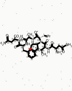 CC(C)C[C@@H](C(=O)N[C@@H](C)C(=O)N[C@@H](Cc1ccccc1)C(=O)N[C@@H](CC(N)=O)C(=O)O)N(C(=O)[C@@H](NC(=O)[C@@H](N)CC(N)=O)[C@@H](C)O)C1CCCCC1